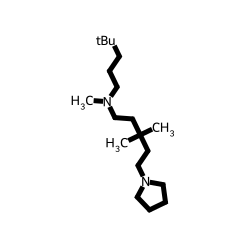 CN(CCCC(C)(C)C)CCC(C)(C)CCN1CCCC1